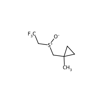 CC1(C[S+]([O-])CC(F)(F)F)CC1